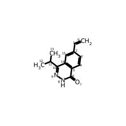 C=Cc1ccc2c(=O)[nH]nc(C(C)C)c2c1